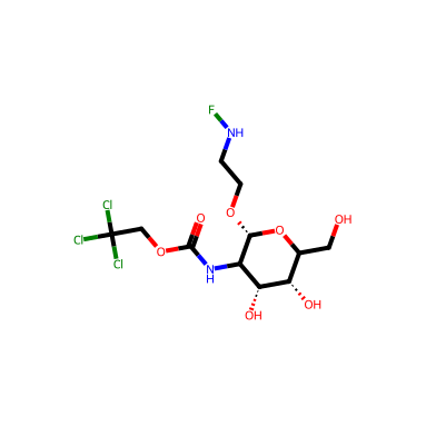 O=C(NC1[C@H](OCCNF)OC(CO)[C@H](O)[C@@H]1O)OCC(Cl)(Cl)Cl